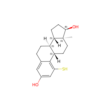 C[C@]12CC[C@@H]3c4c(S)cc(O)cc4CC[C@H]3[C@@H]1CC[C@H]2O